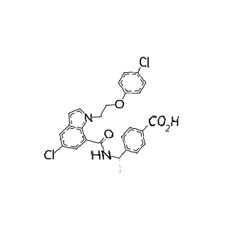 C[C@H](NC(=O)c1cc(Cl)cc2ccn(CCOc3ccc(Cl)cc3)c12)c1ccc(C(=O)O)cc1